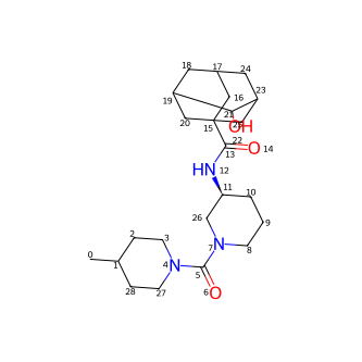 CC1CCN(C(=O)N2CCC[C@H](NC(=O)C34CC5CC(C3)C(O)C(C5)C4)C2)CC1